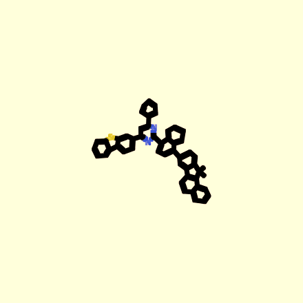 CC1(C)c2ccc(-c3ccc(-c4nc(-c5ccccc5)cc(-c5ccc6c(c5)sc5ccccc56)n4)c4ccccc34)cc2-c2ccc3ccccc3c21